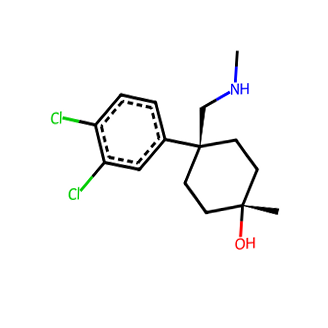 CNC[C@]1(c2ccc(Cl)c(Cl)c2)CC[C@@](C)(O)CC1